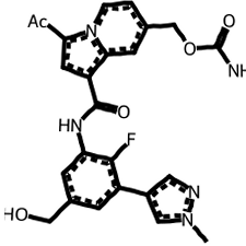 CC(=O)c1cc(C(=O)Nc2cc(CO)cc(-c3cnn(C)c3)c2F)c2cc(COC(N)=O)ccn12